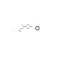 CCC(CCC(C)I)C1CCC(COc2cccc(P)c2F)CC1